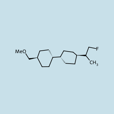 COC[C@H]1CC[C@H]([C@H]2CC[C@H](C(C)CF)CC2)CC1